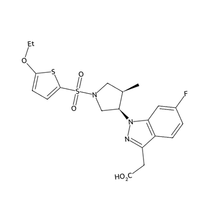 CCOc1ccc(S(=O)(=O)N2C[C@@H](C)[C@@H](n3nc(CC(=O)O)c4ccc(F)cc43)C2)s1